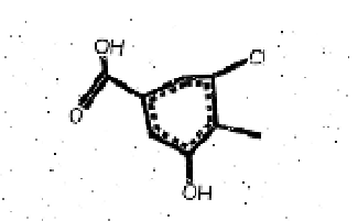 Cc1c(O)cc(C(=O)O)cc1Cl